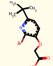 CC(C)(C)c1ccc(OCC(=O)O)c(Br)n1